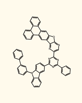 c1ccc(-c2cccc(-n3c4ccccc4c4cc(-c5nc(-c6ccccc6)nc(-c6cnc7oc8cc9c%10ccccc%10c%10ccccc%10c9cc8c7n6)n5)ccc43)c2)cc1